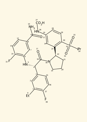 CCc1cc([C@H](Nc2cc(C(N)=O)ccc2F)C(=O)N2CCC[C@@H]2c2cc(NC(=O)O)ccc2S(=O)(=O)C(C)C)ccc1F